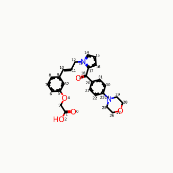 O=C(O)COc1cccc(/C=C/Cn2cccc2C(=O)c2ccc(N3CCOCC3)cc2)c1